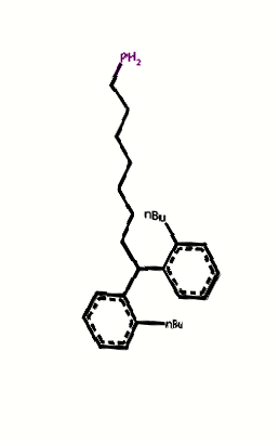 CCCCc1ccccc1C(CCCCCCCP)c1ccccc1CCCC